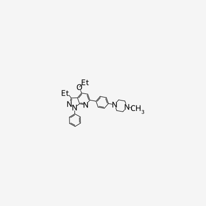 CCOc1cc(-c2ccc(N3CCN(C)CC3)cc2)nc2c1c(CC)nn2-c1ccccc1